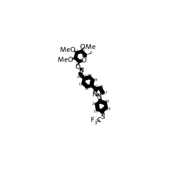 CO[C@@H]1[C@@H](OC)[C@H](C)O[C@@H](O/N=C/c2ccc(-c3ccn(-c4ccc(SC(F)(F)F)cc4)n3)cc2)[C@@H]1OC